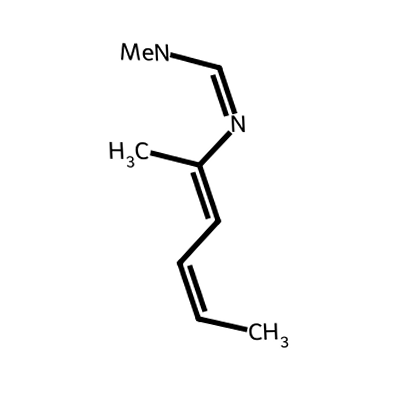 C\C=C/C=C(C)/N=C\NC